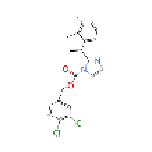 Cc1cccc([C@H](C)c2nccn2C(=O)OCc2ccc(Cl)c(Cl)c2)c1C